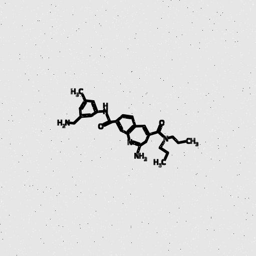 CCCN(CCC)C(=O)C1=Cc2ccc(C(=O)Nc3cc(C)cc(CN)c3)cc2N=C(N)C1